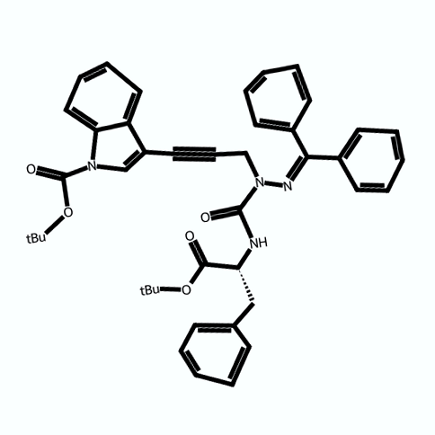 CC(C)(C)OC(=O)[C@@H](Cc1ccccc1)NC(=O)N(CC#Cc1cn(C(=O)OC(C)(C)C)c2ccccc12)N=C(c1ccccc1)c1ccccc1